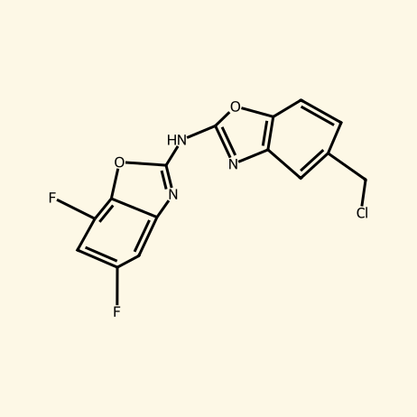 Fc1cc(F)c2oc(Nc3nc4cc(CCl)ccc4o3)nc2c1